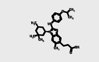 Cc1cc2c(cc1CCC(=O)O)nc(Nc1ccc(OC(C)C)cc1)n2[C@@H]1C[C@H](C)CC(C)(C)C1